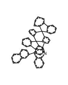 c1ccc2c(c1)-c1ccccc1C21c2ccccc2C2(c3ccccc3-c3ccccc32)c2c(-c3nc(-c4ccc5ccccc5c4)c4ccccc4n3)cccc21